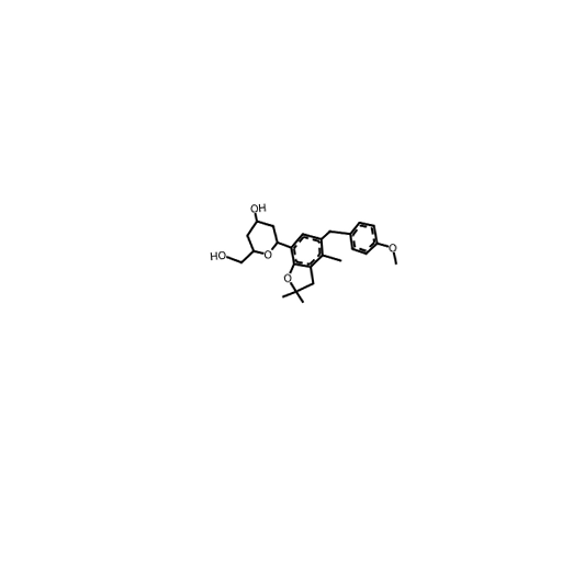 COc1ccc(Cc2cc(C3CC(O)CC(CO)O3)c3c(c2C)CC(C)(C)O3)cc1